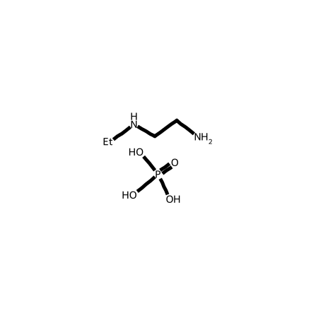 CCNCCN.O=P(O)(O)O